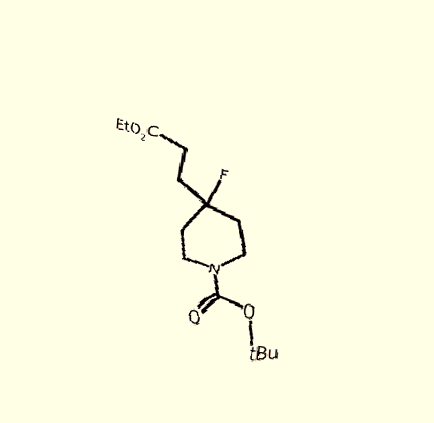 CCOC(=O)CCC1(F)CCN(C(=O)OC(C)(C)C)CC1